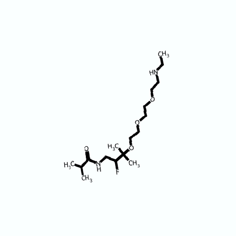 CCNCCOCCOCCOC(C)(C)C(F)CNC(=O)C(C)C